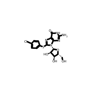 Nc1nc2c(nc(Sc3ccc(Cl)cc3)n2[C@@H]2O[C@H](CO)[C@@H](O)[C@H]2O)c(=O)[nH]1